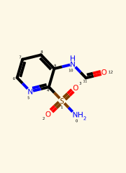 NS(=O)(=O)c1ncccc1NC=O